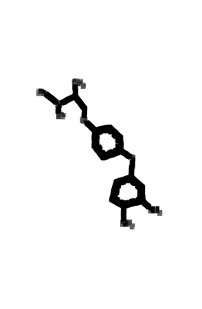 CC(C)N(C(C)C)C(C)COc1ccc(Sc2ccc(N)c(N)c2)cc1